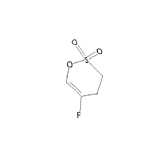 O=S1(=O)CCC(F)=CO1